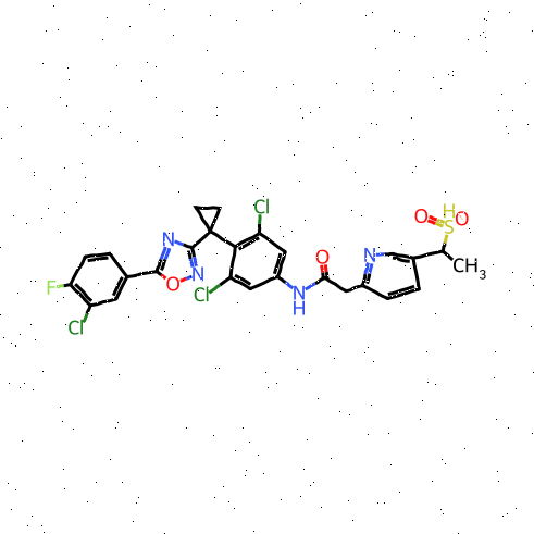 CC(c1ccc(CC(=O)Nc2cc(Cl)c(C3(c4noc(-c5ccc(F)c(Cl)c5)n4)CC3)c(Cl)c2)nc1)[SH](=O)=O